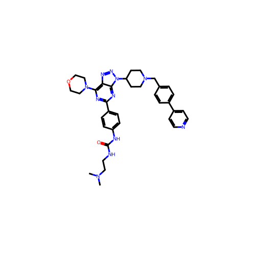 CN(C)CCNC(=O)Nc1ccc(-c2nc(N3CCOCC3)c3nnn(C4CCN(Cc5ccc(-c6ccncc6)cc5)CC4)c3n2)cc1